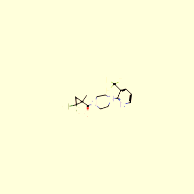 CC1(C(=O)N2CCN(c3ncccc3C(F)(F)F)CC2)CC1(Cl)Cl